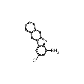 Bc1cc(Cl)cc2c1sc1cc3ccccc3cc12